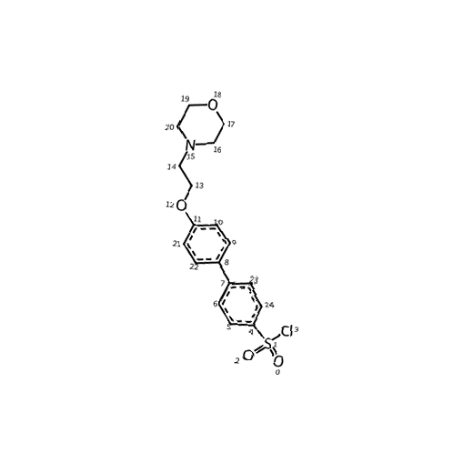 O=S(=O)(Cl)c1ccc(-c2ccc(OCCN3CCOCC3)cc2)cc1